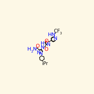 CC(C)C1CCC(n2cc(NC(=O)c3coc(-c4ccnc(NCC(F)(F)F)c4)n3)c(C(N)=O)n2)CC1